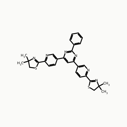 CC1(C)CSC(c2ccc(-c3cc(-c4ccc(C5=NC(C)(C)CS5)nc4)nc(-c4ccccc4)n3)cn2)=N1